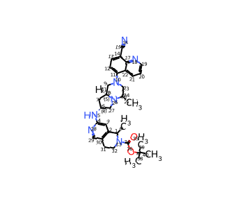 CC1c2cc(N[C@@H]3C[C@H]4CN(c5ccc(C#N)c6ncccc56)C[C@@H](C)N4C3)ncc2CCN1C(=O)OC(C)(C)C